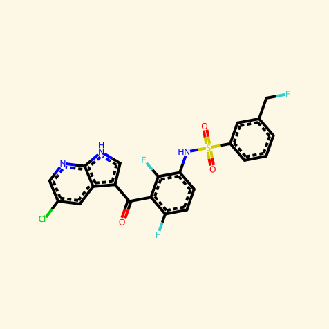 O=C(c1c(F)ccc(NS(=O)(=O)c2cccc(CF)c2)c1F)c1c[nH]c2ncc(Cl)cc12